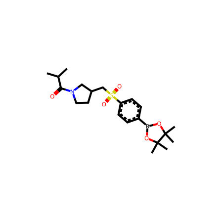 CC(C)C(=O)N1CCC(CS(=O)(=O)c2ccc(B3OC(C)(C)C(C)(C)O3)cc2)C1